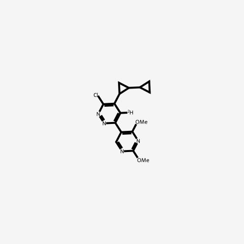 [2H]c1c(-c2cnc(OC)nc2OC)nnc(Cl)c1C1CC1C1CC1